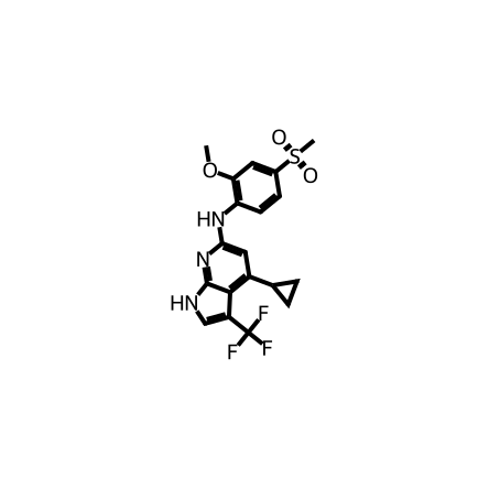 COc1cc(S(C)(=O)=O)ccc1Nc1cc(C2CC2)c2c(C(F)(F)F)c[nH]c2n1